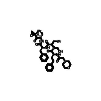 CC(C)CC(C(=O)N[C@@H](Cc1ccccc1)C(=O)N[C@@H](CC(C)C)C(=O)[C@@]1(C)CO1)N(CO)C(=O)[C@H](CCc1ccccc1)NC(=O)CN1CCOCC1